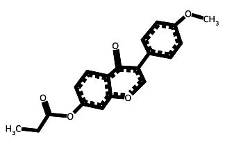 CCC(=O)Oc1ccc2c(=O)c(-c3ccc(OC)cc3)coc2c1